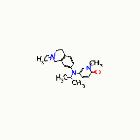 CC(C)N(c1ccc2c(c1)CN(C)CC2)c1ccc(=O)n(C)c1